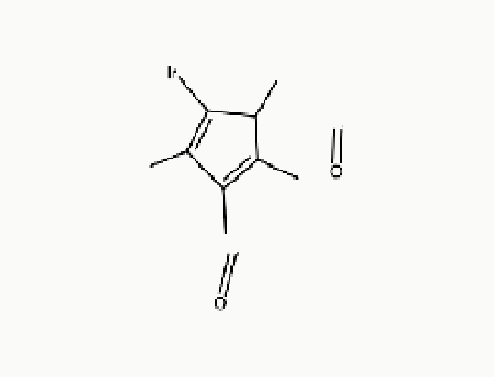 CC1=C(C)C(C)[C]([Ir])=C1C.[C]=O.[C]=O